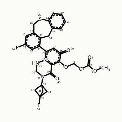 COC(=O)OCOc1c2n(c(-c3cc(F)cc4c3Cc3ccccc3SC4)cc1=O)NCN(C13CC(F)(C1)C3)C2=O